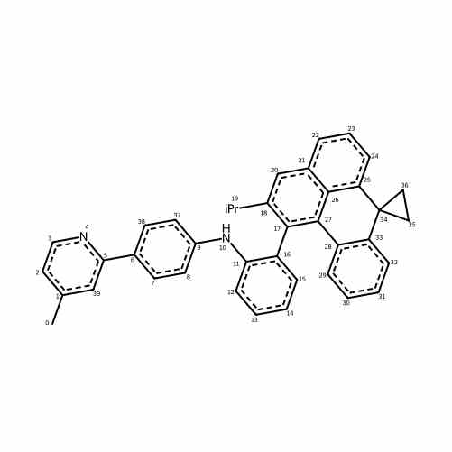 Cc1ccnc(-c2ccc(Nc3ccccc3-c3c(C(C)C)cc4cccc5c4c3-c3ccccc3C53CC3)cc2)c1